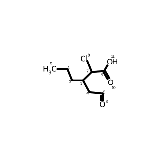 CCCC(CC=O)C(Cl)C(=O)O